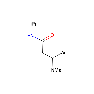 CNC(CC(=O)NC(C)C)C(C)=O